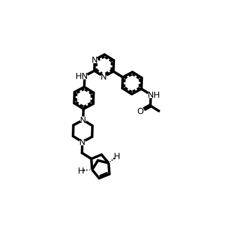 CC(=O)Nc1ccc(-c2ccnc(Nc3ccc(N4CCN(CC5C[C@H]6C=C[C@@H]5C6)CC4)cc3)n2)cc1